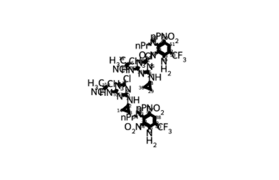 CC(C)(C#N)Nc1nc(Cl)nc(NC2CC2)n1.CC(C)(C#N)Nc1nc(Cl)nc(NC2CC2)n1.CCCN(CCC)c1c([N+](=O)[O-])cc(C(F)(F)F)c(N)c1[N+](=O)[O-].CCCN(CCC)c1c([N+](=O)[O-])cc(C(F)(F)F)c(N)c1[N+](=O)[O-]